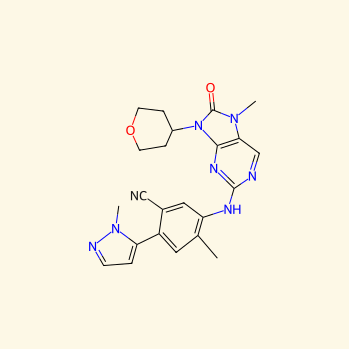 Cc1cc(-c2ccnn2C)c(C#N)cc1Nc1ncc2c(n1)n(C1CCOCC1)c(=O)n2C